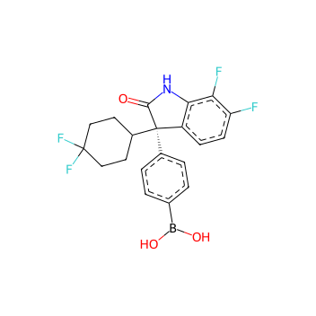 O=C1Nc2c(ccc(F)c2F)[C@@]1(c1ccc(B(O)O)cc1)C1CCC(F)(F)CC1